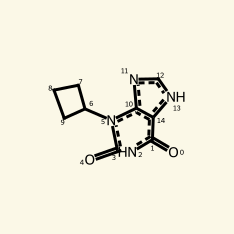 O=c1[nH]c(=O)n(C2CCC2)c2nc[nH]c12